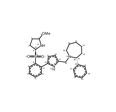 COC1CC[C@H](S(=O)(=O)c2ccccc2-c2ccc(CN3CCCCC[C@@H]3c3ccccc3)[nH]2)N1